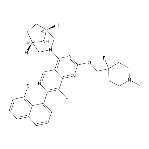 CN1CCC(F)(COc2nc(N3C[C@H]4CC[C@@H](C3)N4)c3cnc(-c4cccc5cccc(Cl)c45)c(F)c3n2)CC1